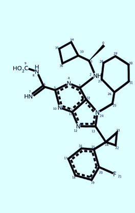 C[C@@H](Nc1nc(C(=N)NC(=O)O)nc2nc(C3(c4ccccc4F)CC3)n(CC3CCCCC3)c12)C1CCC1